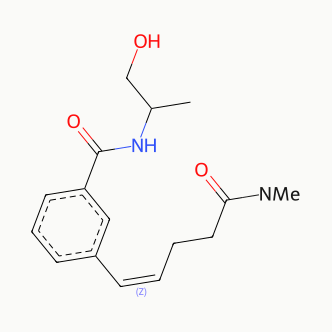 CNC(=O)CC/C=C\c1cccc(C(=O)NC(C)CO)c1